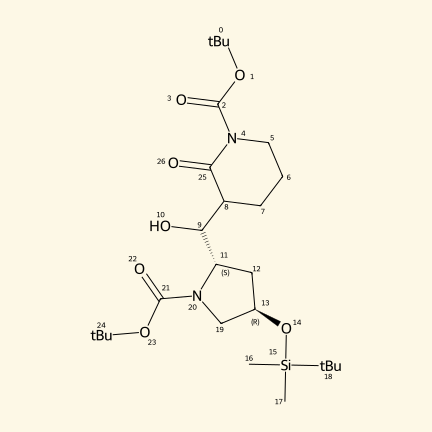 CC(C)(C)OC(=O)N1CCCC(C(O)[C@@H]2C[C@@H](O[Si](C)(C)C(C)(C)C)CN2C(=O)OC(C)(C)C)C1=O